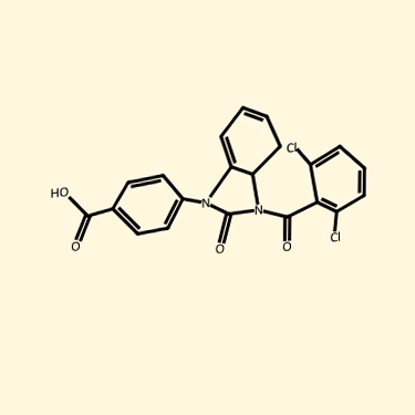 O=C(O)c1ccc(N2C(=O)N(C(=O)c3c(Cl)cccc3Cl)C3CC=CC=C32)cc1